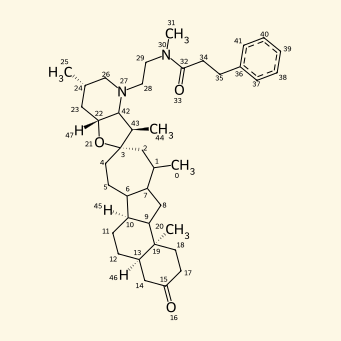 CC1C[C@]2(CCC3C1CC1[C@H]3CC[C@@H]3CC(=O)CC[C@]13C)O[C@@H]1C[C@H](C)CN(CCN(C)C(=O)CCc3ccccc3)C1[C@H]2C